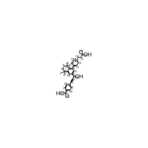 CC1(C)CCC(C)(C)c2c(C3=CCN(CCC(=O)O)CC3)cc(C(O)C#Cc3ccc(C(=O)O)cc3)cc21